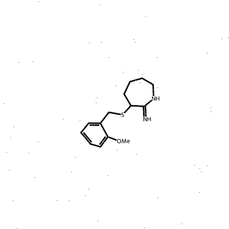 COc1ccccc1CSC1CCCCNC1=N